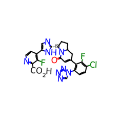 O=C(O)c1nccc(-c2cnc([C@@H]3CCC4CC(c5c(-n6cnnn6)ccc(Cl)c5F)=CC(=O)N43)[nH]2)c1F